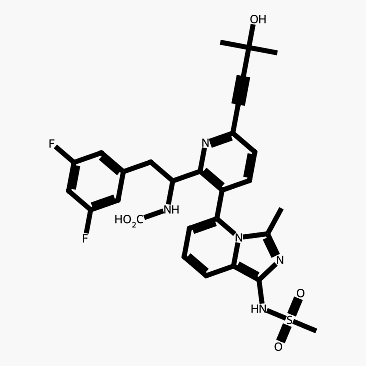 Cc1nc(NS(C)(=O)=O)c2cccc(-c3ccc(C#CC(C)(C)O)nc3C(Cc3cc(F)cc(F)c3)NC(=O)O)n12